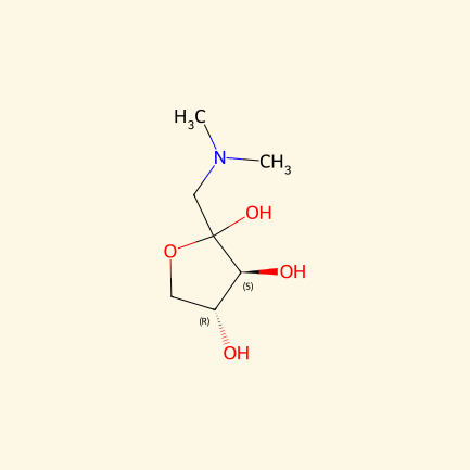 CN(C)CC1(O)OC[C@@H](O)[C@@H]1O